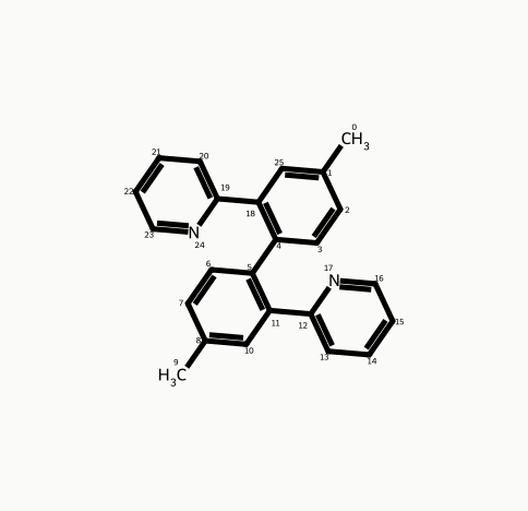 Cc1ccc(-c2ccc(C)cc2-c2ccccn2)c(-c2ccccn2)c1